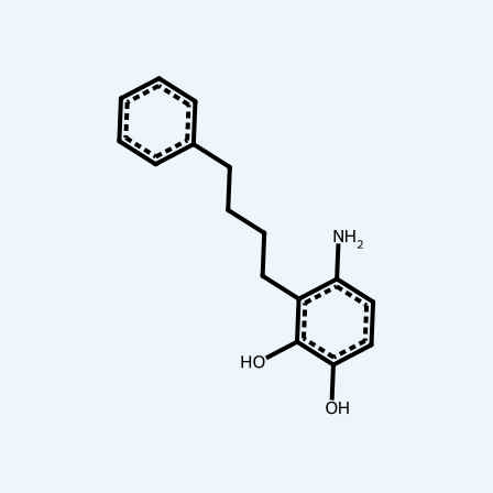 Nc1ccc(O)c(O)c1CCCCc1ccccc1